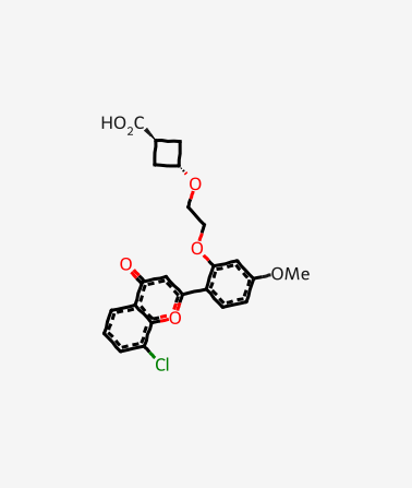 COc1ccc(-c2cc(=O)c3cccc(Cl)c3o2)c(OCCO[C@H]2C[C@H](C(=O)O)C2)c1